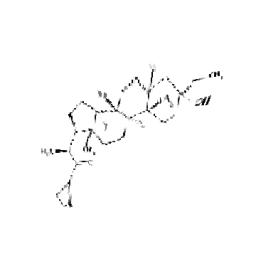 CC[C@@]1(O)CC[C@@]2(C)[C@H](CC[C@@H]3[C@@H]2CC[C@]2(C)[C@@H]([C@H](C)C(=O)C4CC4)CC[C@@H]32)C1